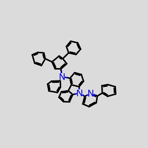 c1ccc(-c2cc(-c3ccccc3)cc(N(c3ccccc3)c3cccc4c3c3ccccc3n4-c3cccc(-c4ccccc4)n3)c2)cc1